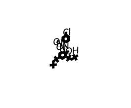 CC(C)(C)CC(C)(C)c1cc(/N=N/c2ccc(Cl)cc2[N+](=O)[O-])c(O)c(C(C)(C)CC(C)(C)C)c1